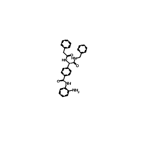 Nc1ccccc1NC(=O)c1ccc(C(NC(=O)Cc2ccccc2)C(=O)NCc2ccccc2)cc1